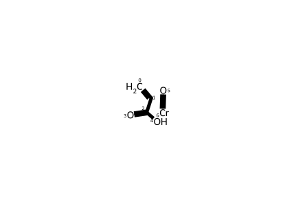 C=CC(=O)O.[O]=[Cr]